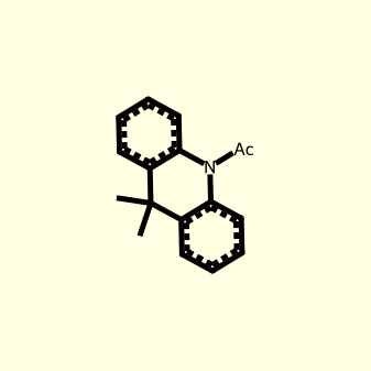 CC(=O)N1c2ccccc2C(C)(C)c2ccccc21